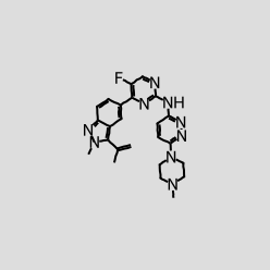 C=C(C)c1c2cc(-c3nc(Nc4ccc(N5CCN(C)CC5)nn4)ncc3F)ccc2nn1C